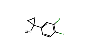 O=CC1(c2ccc(Br)c(F)c2)CC1